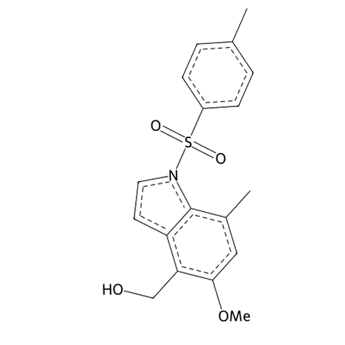 COc1cc(C)c2c(ccn2S(=O)(=O)c2ccc(C)cc2)c1CO